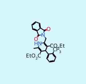 CCOC(=O)C1=C(C)NC(CN2C(=O)c3ccccc3C2=O)=C(C(=O)OCC)C1c1ccccc1C(F)(F)F